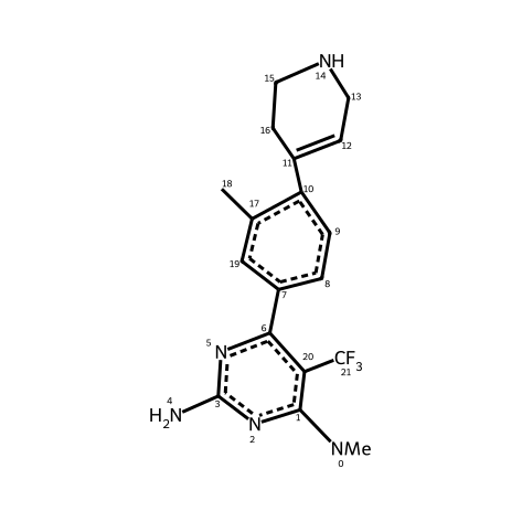 CNc1nc(N)nc(-c2ccc(C3=CCNCC3)c(C)c2)c1C(F)(F)F